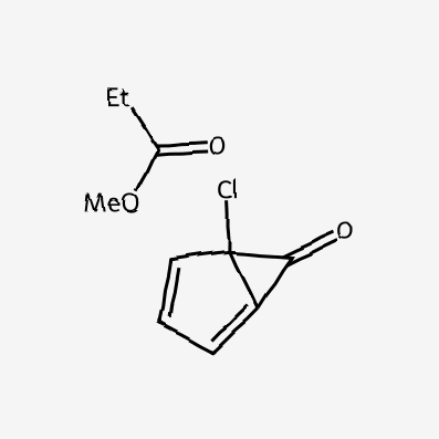 CCC(=O)OC.O=C1C2=CC=CC12Cl